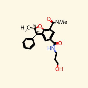 CNC(=O)c1cc(C(=O)NCCCO)cc2c1O[C@H](C)[C@H]2c1ccccc1